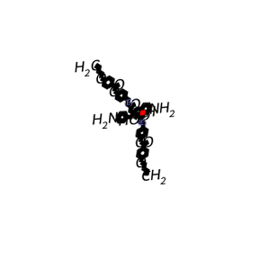 C=CCCOC1CCC(C(=O)Oc2ccc(/C=C/C(=O)CC(Cc3ccc(N)cc3)(Cc3ccc(N)cc3)C(O)(O)C(=O)/C=C/c3ccc(OC(=O)C4CCC(OCCC=C)CC4)cc3)cc2)CC1